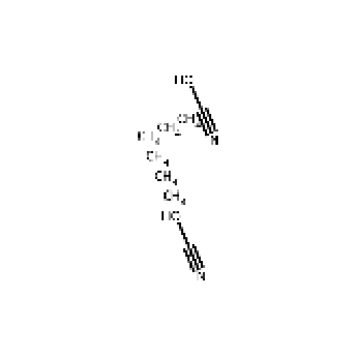 C.C.C.C.C.C.N#CO.N#CO